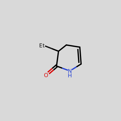 CCC1CC=CNC1=O